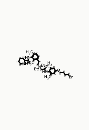 CC[N+](CC)(CCc1ccc(C)c(NC(=O)C2CCCCN2)c1C)CC(=O)Nc1c(C)cc(OCCCCBr)cc1C